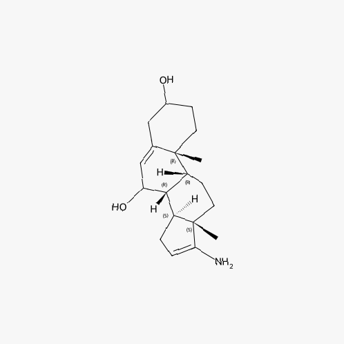 C[C@]12CCC(O)CC1=CC(O)[C@@H]1[C@H]2CC[C@]2(C)C(N)=CC[C@@H]12